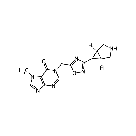 Cn1cnc2ncn(Cc3nc(C4[C@H]5CNC[C@@H]45)no3)c(=O)c21